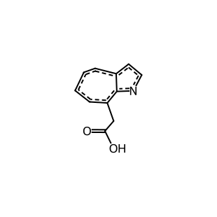 O=C(O)Cc1ccccc2ccnc1-2